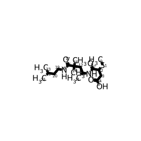 CSC(CC(=O)O)C(=O)NC(C)CC(C)(C)C(=O)NCCC(C)C